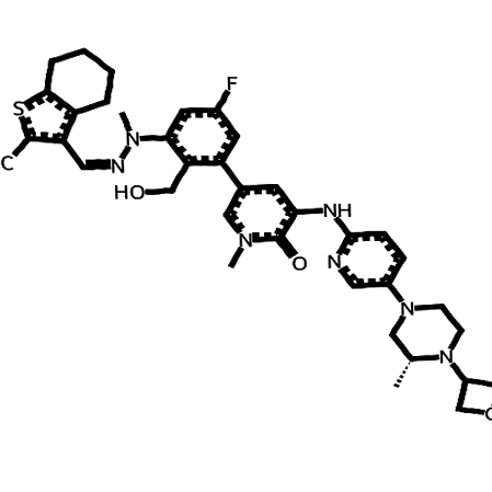 C[C@@H]1CN(c2ccc(Nc3cc(-c4cc(F)cc(N(C)/N=C\c5c(C=O)sc6c5CCCC6)c4CO)cn(C)c3=O)nc2)CCN1C1COC1